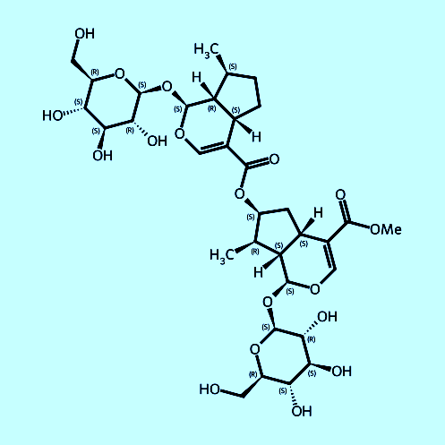 COC(=O)C1=CO[C@@H](O[C@@H]2O[C@H](CO)[C@@H](O)[C@H](O)[C@H]2O)[C@@H]2[C@@H](C)[C@@H](OC(=O)C3=CO[C@@H](O[C@@H]4O[C@H](CO)[C@@H](O)[C@H](O)[C@H]4O)[C@H]4[C@@H]3CC[C@@H]4C)C[C@H]12